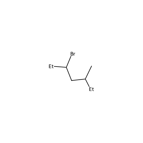 CCC(C)CC(Br)CC